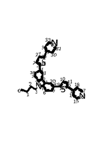 CCCCn1c2ccc(-c3ccc(-c4ccncc4)s3)cc2c2cc(-c3ccc(-c4ccncc4)s3)ccc21